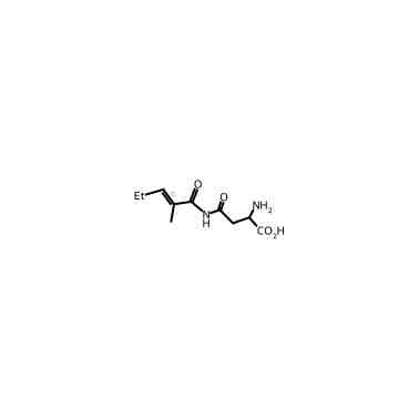 CC/C=C(\C)C(=O)NC(=O)CC(N)C(=O)O